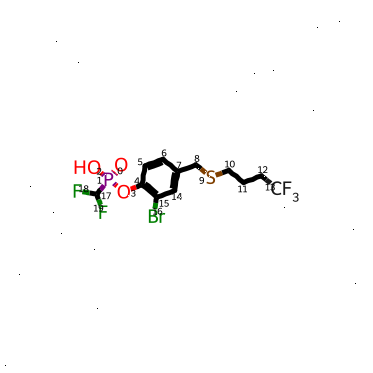 O=P(O)(Oc1ccc(CSCCCC(F)(F)F)cc1Br)C(F)F